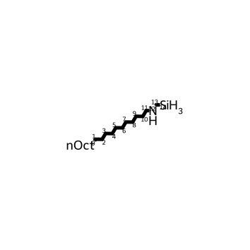 CCCCCCCCCCCCCCCCCCCNC[SiH3]